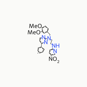 COc1ccc(CN(CCNc2ccc([N+](=O)[O-])cn2)c2nccc(-c3cc[c]cc3)n2)cc1OC